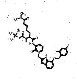 CN(C)C(=O)/C=C/CCC(NC(=O)OC(C)(C)C)C(=O)Nc1cccn(Cc2cc3cccc(OCc4ccc(F)cc4F)c3[nH]2)c1=O